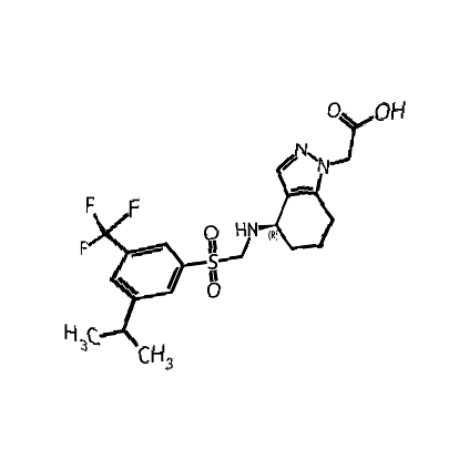 CC(C)c1cc(C(F)(F)F)cc(S(=O)(=O)CN[C@@H]2CCCc3c2cnn3CC(=O)O)c1